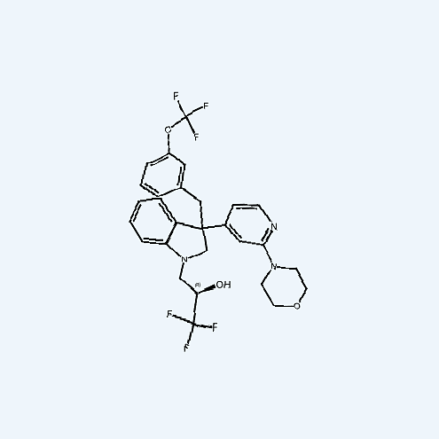 O[C@H](CN1CC(Cc2cccc(OC(F)(F)F)c2)(c2ccnc(N3CCOCC3)c2)c2ccccc21)C(F)(F)F